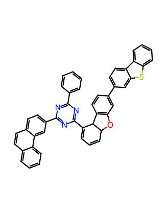 C1=CC2Oc3cc(-c4ccc5c(c4)sc4ccccc45)ccc3C2C(c2nc(-c3ccccc3)nc(-c3ccc4ccc5ccccc5c4c3)n2)=C1